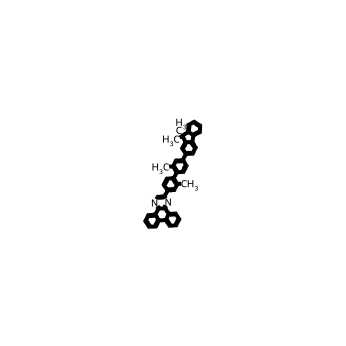 Cc1cc(-c2ccc3c(c2)C(C)(C)c2ccccc2-3)ccc1-c1ccc(-c2cnc3c4ccccc4c4ccccc4c3n2)cc1C